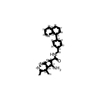 Cc1nnc2sc(C(=O)NCc3ccc(-c4cccc5cccnc45)cc3)c(N)c2c1C